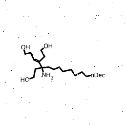 CCCCCCCCCCCCCCCCCCC(N)(CCO)C(=CCCO)CCO